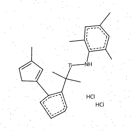 CC1=CCC(c2ccccc2[C](C)(C)[Ti][NH]c2c(C)cc(C)cc2C)=C1.Cl.Cl